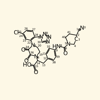 N#CC1CCN(C(=O)Nc2ccc(CC(C(=O)O)N3CCN(c4cc(Cl)ccc4-n4cnnn4)C(=O)C3=O)cc2)CC1